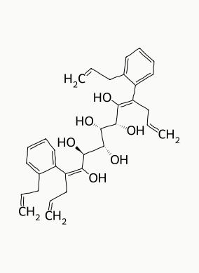 C=CCC(=C(O)[C@@H](O)[C@@H](O)[C@H](O)[C@@H](O)C(O)=C(CC=C)c1ccccc1CC=C)c1ccccc1CC=C